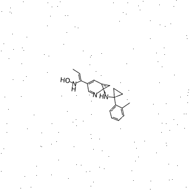 CC=C(NO)C1=CC2=C[C@]2(NC2(c3ccccc3C)CC2)N=C1